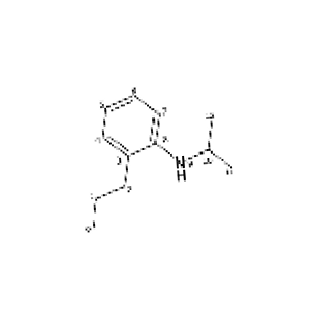 CCCc1ccccc1NC(C)C